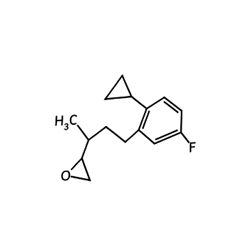 CC(CCc1cc(F)ccc1C1CC1)C1CO1